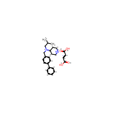 CC(C)CN(Cc1ccc(-c2ccccc2)cc1)C1CCNCC1.O=C(O)/C=C/C(=O)O